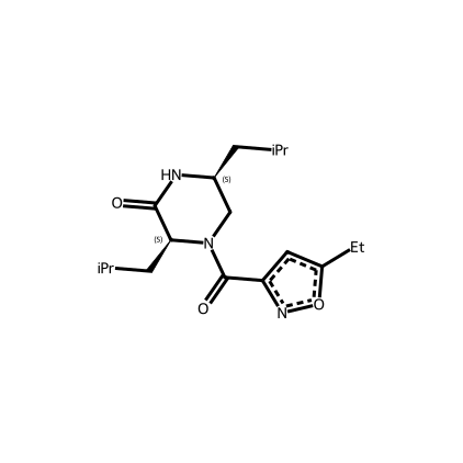 CCc1cc(C(=O)N2C[C@H](CC(C)C)NC(=O)[C@@H]2CC(C)C)no1